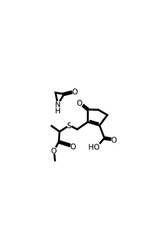 COC(=O)C(C)SCC1=C(C(=O)O)CCC1=O.O=C1CN1